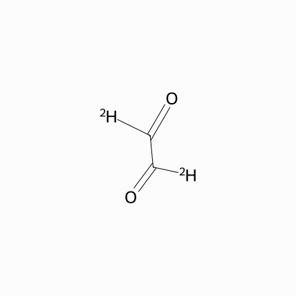 [2H]C(=O)C([2H])=O